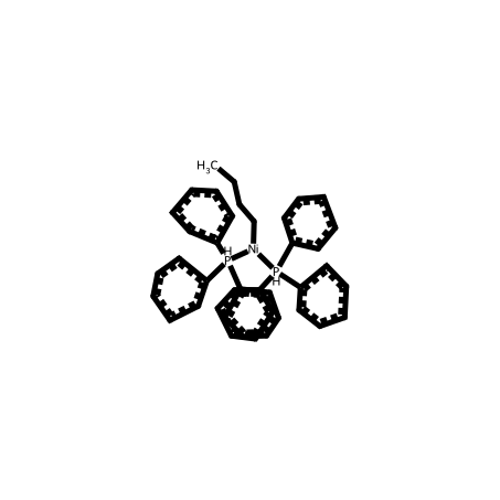 CCC[CH2][Ni]([PH](c1ccccc1)(c1ccccc1)c1ccccc1)[PH](c1ccccc1)(c1ccccc1)c1ccccc1